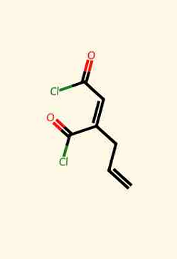 C=CCC(=CC(=O)Cl)C(=O)Cl